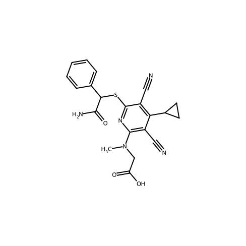 CN(CC(=O)O)c1nc(SC(C(N)=O)c2ccccc2)c(C#N)c(C2CC2)c1C#N